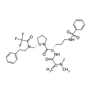 C[C@@H](C(=O)N[C@@H](CCCNS(=O)(=O)c1ccccc1)C(=O)N1CCC[C@H]1CN(CCc1ccccc1)C(=O)C(F)(F)F)N(C)I